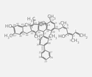 C=C/C(C)=C(O)\C=C(\C)Cc1cc(C)c(O)c(C(c2ccc(-c3ccccc3)cc2)c2c(C)c(Cc3cc(C)c(O)cc3C)cc(C)c2O)c1C